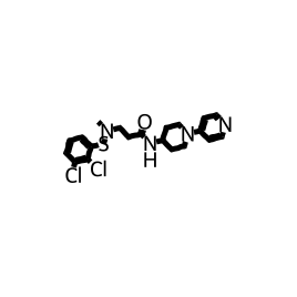 CN(CCC(=O)NC1CCN(c2ccncc2)CC1)Sc1cccc(Cl)c1Cl